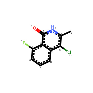 Cc1[nH]c(=O)c2c(F)cccc2c1Cl